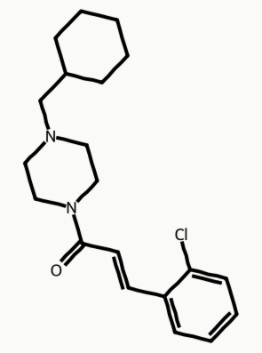 O=C(C=Cc1ccccc1Cl)N1CCN(CC2CCCCC2)CC1